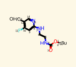 CC(C)(C)OC(=O)NCCNc1cc(F)c(C=O)cn1